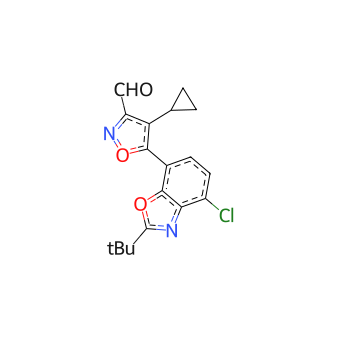 CC(C)(C)c1nc2c(Cl)ccc(-c3onc(C=O)c3C3CC3)c2o1